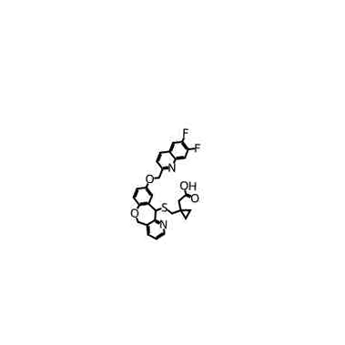 O=C(O)CC1(CSC2c3cc(OCc4ccc5cc(F)c(F)cc5n4)ccc3OCc3cccnc32)CC1